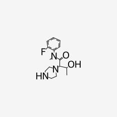 CC(O)C(C(=O)N(C)c1ccccc1F)N1CCNCC1